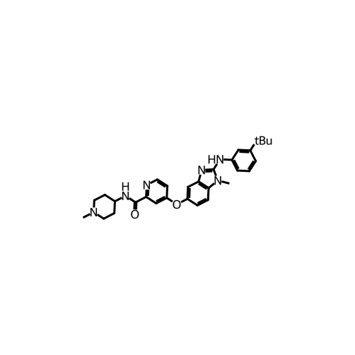 CN1CCC(NC(=O)c2cc(Oc3ccc4c(c3)nc(Nc3cccc(C(C)(C)C)c3)n4C)ccn2)CC1